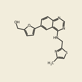 Cc1csc(CNc2ncnc3ccc(-c4ccc(CO)o4)cc23)n1